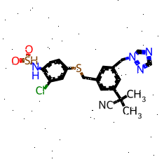 CC(C)(C#N)c1cc(CSc2ccc(N[SH](=O)=O)c(Cl)c2)cc(Cn2cncn2)c1